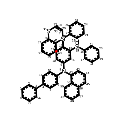 c1ccc(-c2ccc(N(c3ccc4c(c3)[SiH](c3ccccc3)c3ccccc3[Si]43c4ccccc4Sc4ccccc43)c3cccc4ccccc34)cc2)cc1